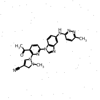 CC(=O)c1ccc(-n2cnc3cc(Nc4ccc(C)nn4)ccc32)nc1N1C=C(C#N)CN1C